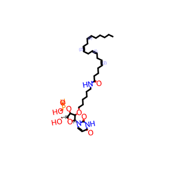 CCCCC/C=C\C/C=C\C/C=C\C/C=C\CCCC(=O)NCCCCCCOC1C(O[PH](=O)O)[C@@H](CO)O[C@H]1n1ccc(=O)[nH]c1=O